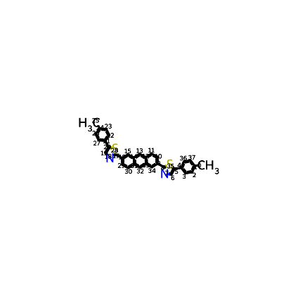 Cc1ccc(-c2cnc(-c3ccc4cc5cc(-c6ncc(-c7ccc(C)cc7)s6)ccc5cc4c3)s2)cc1